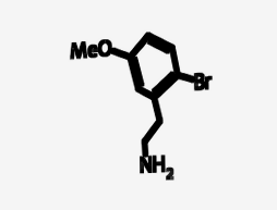 COc1ccc(Br)c(CCN)c1